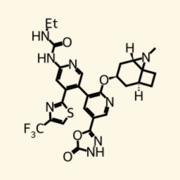 CCNC(=O)Nc1cc(-c2nc(C(F)(F)F)cs2)c(-c2cc(-c3n[nH]c(=O)o3)cnc2O[C@@H]2C[C@@H]3CCC34[C@H](C2)N4C)cn1